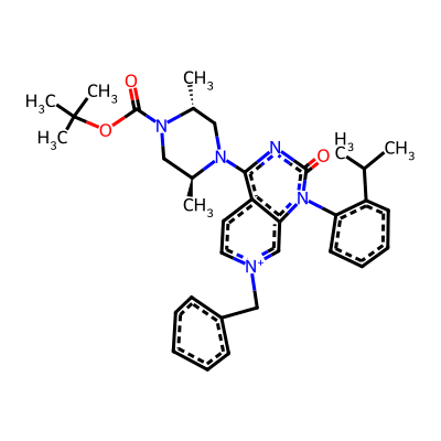 CC(C)c1ccccc1-n1c(=O)nc(N2C[C@@H](C)N(C(=O)OC(C)(C)C)C[C@@H]2C)c2cc[n+](Cc3ccccc3)cc21